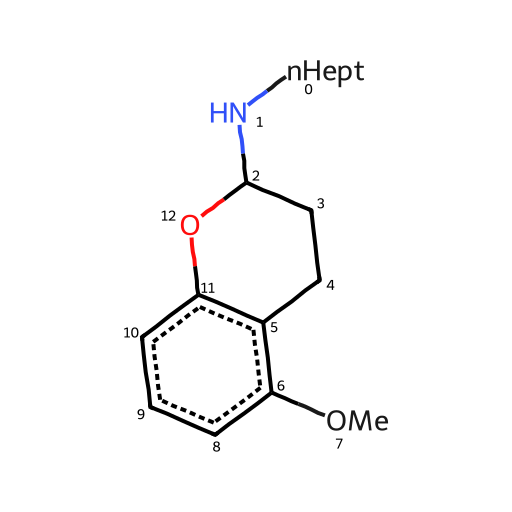 CCCCCCCNC1CCc2c(OC)cccc2O1